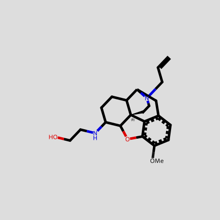 C=CCN1CC[C@@]23c4c5ccc(OC)c4OC2C(NCCO)CCC3C1C5